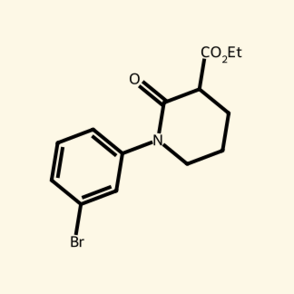 CCOC(=O)C1CCCN(c2cccc(Br)c2)C1=O